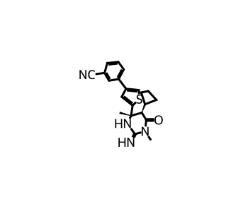 CN1C(=N)N[C@](C)(c2cc(-c3cccc(C#N)c3)cs2)[C@@H](C2CCC2)C1=O